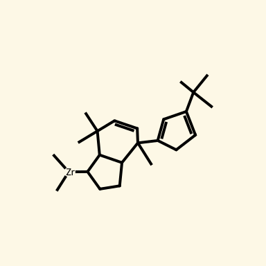 [CH3][Zr]([CH3])[CH]1CCC2C1C(C)(C)C=CC2(C)C1=CC(C(C)(C)C)=CC1